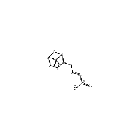 CC1(C)C2CCC(CC=CC(=O)Cl)C1C2